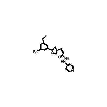 O=C(/C=C\n1cnc(-c2cc(CF)cc(C(F)(F)F)c2)n1)NNc1ccncn1